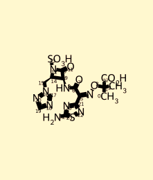 CC(C)(O/N=C(\C(=O)N[C@@H]1C(=O)N(S(=O)(=O)O)[C@@H]1Cn1cncn1)c1nsc(N)n1)C(=O)O